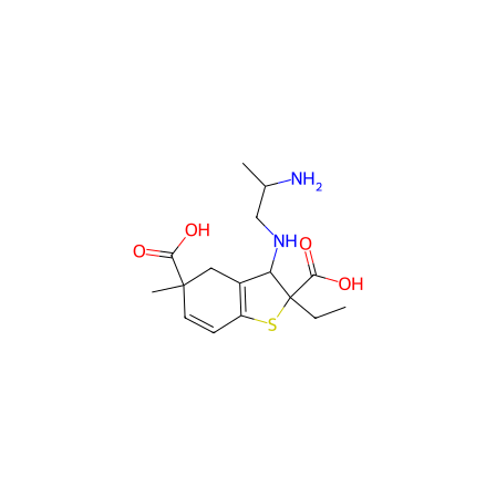 CCC1(C(=O)O)SC2=C(CC(C)(C(=O)O)C=C2)C1NCC(C)N